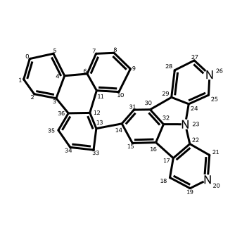 c1ccc2c(c1)c1ccccc1c1c(-c3cc4c5ccncc5n5c6cnccc6c(c3)c45)cccc21